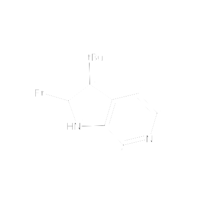 CCC1Nc2cnccc2C1C(C)(C)C